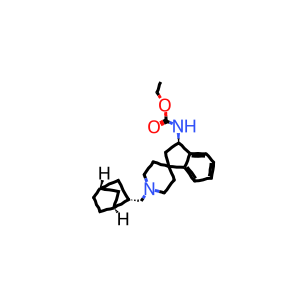 CCOC(=O)N[C@@H]1CC2(CCN(C[C@H]3C[C@H]4CC[C@H]3C4)CC2)c2ccccc21